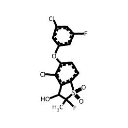 CC1(F)C(O)c2c(ccc(Oc3cc(F)cc(Cl)c3)c2Cl)S1(=O)=O